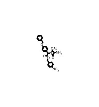 CC(=O)OC1C(N)C(=O)N1C(C(=O)OCc1ccc([N+](=O)[O-])cc1)c1ccc(OCc2ccccc2)cc1